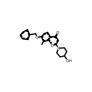 Cc1c(OCc2ccccc2)ccc2c(=O)cc(N3CCC(O)CC3)oc12